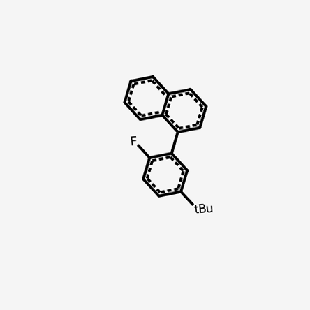 CC(C)(C)c1ccc(F)c(-c2cccc3ccccc23)c1